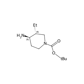 CC[C@@H]1CN(C(=O)OC(C)(C)C)CC[C@H]1N